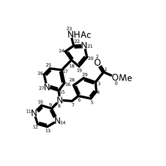 COC(=O)c1ccc(CN(c2cnccn2)c2cc(-c3ccnc(NC(C)=O)c3)ccn2)cc1